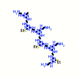 CCSc1nc(NCCN)nc(NCCNc2nc(NCCN)nc(NCCNc3nc(NCCNc4nc(NCCN)nc(NCCNc5nc(NCCNc6nc(C)nc(NCCN)n6)nc(SCC)n5)n4)nc(SCC)n3)n2)n1